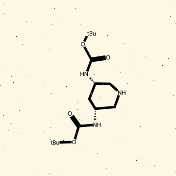 CC(C)(C)OC(=O)N[C@@H]1CNC[C@H](NC(=O)OC(C)(C)C)C1